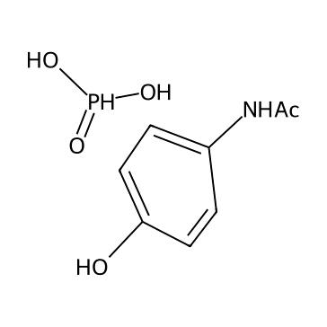 CC(=O)Nc1ccc(O)cc1.O=[PH](O)O